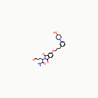 CNC(=O)C(CCC=O)N1C(=O)c2ccc(OCCCc3cccc(N4CCC(O)CC4)c3)cc2C1=O